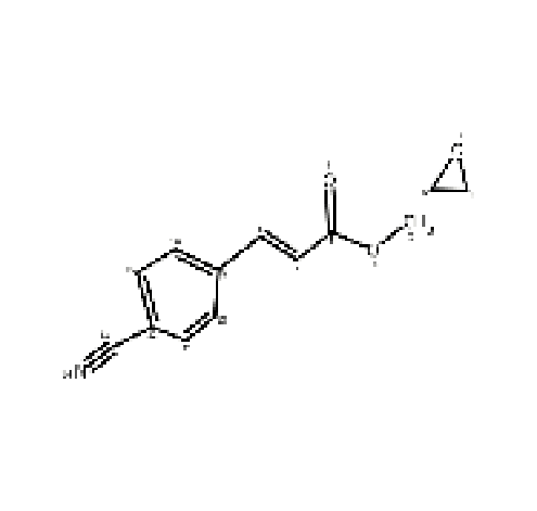 C1CO1.COC(=O)C=Cc1ccc(C#N)cc1